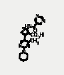 Cc1nc(N2CCCCC2)ncc1-c1csc(NC(=O)c2cncnc2)c1C(=O)O